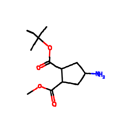 COC(=O)C1CC(N)CC1C(=O)OC(C)(C)C